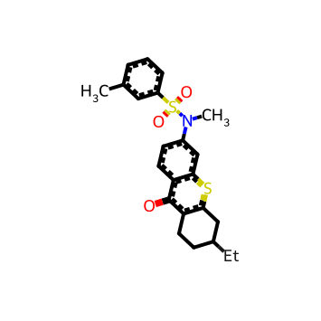 CCC1CCc2c(sc3cc(N(C)S(=O)(=O)c4cccc(C)c4)ccc3c2=O)C1